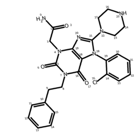 NC(=O)Cn1c(=O)n(CCc2ccccc2)c(=O)c2c1nc(N1CCNCC1)n2-c1ccccc1Cl